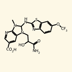 CN1c2ncc(C(=O)O)cc2N(CC(O)C(N)=O)C1Nc1nc2ccc(OC(F)(F)F)cc2s1